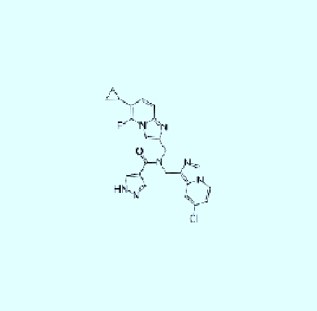 O=C(c1cn[nH]c1)N(Cc1cn2c(F)c(C3CC3)ccc2n1)Cc1ncn2ccc(Cl)cc12